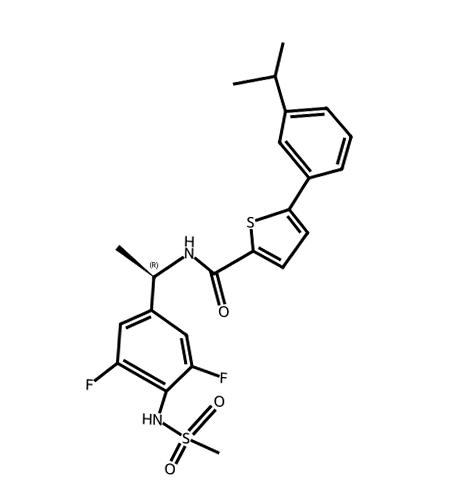 CC(C)c1cccc(-c2ccc(C(=O)N[C@H](C)c3cc(F)c(NS(C)(=O)=O)c(F)c3)s2)c1